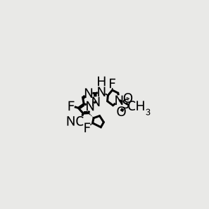 CS(=O)(=O)N1CC[C@@H](Nc2ncc3c(F)c(C#N)c([C@@H]4CCC[C@@H]4F)n3n2)[C@H](F)C1